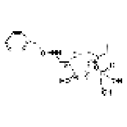 CCC(C)OP(=O)(O)C(O)C[C@@H](O)[C@@H](O)[C@@H](O)CNOCc1ccccc1